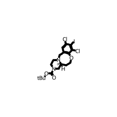 CC(C)(C)OC(=O)N1CCN2Cc3cc(Cl)c(I)c(Cl)c3OCC[C@@H]2C1